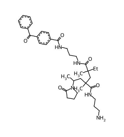 CCC(C)(CC(C)(CC(C)N1CCCC1=O)C(=O)NCCCN)C(=O)NCCCNC(=O)c1ccc(C(=O)c2ccccc2)cc1